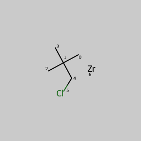 CC(C)(C)CCl.[Zr]